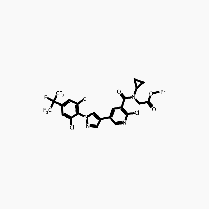 CC(C)OC(=O)CN(C(=O)c1cc(-c2cnn(-c3c(Cl)cc(C(F)(C(F)(F)F)C(F)(F)F)cc3Cl)c2)cnc1Cl)C1CC1